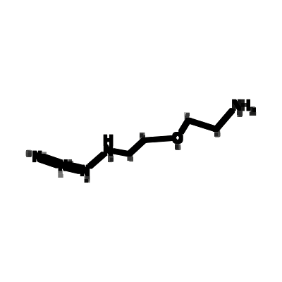 [N-]=[N+]=NNCCOCCN